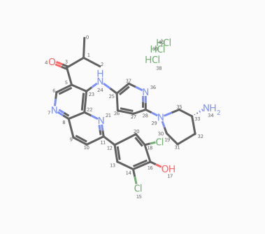 CC(C)C(=O)c1cnc2ccc(-c3cc(Cl)c(O)c(Cl)c3)nc2c1Nc1ccc(N2CCC[C@@H](N)C2)nc1.Cl.Cl.Cl